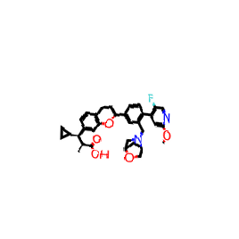 COc1cc(-c2ccc(C3CCc4ccc([C@H](C5CC5)[C@H](C)C(=O)O)cc4O3)cc2CN2CC3CC2CO3)c(F)cn1